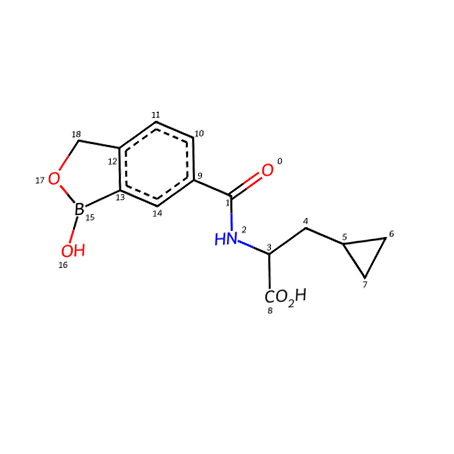 O=C(NC(CC1CC1)C(=O)O)c1ccc2c(c1)B(O)OC2